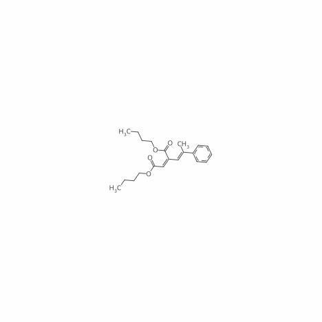 CCCCOC(=O)/C=C(/C=C(C)c1ccccc1)C(=O)OCCCC